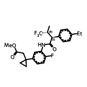 CCc1ccc([C@@H](C(=O)Nc2cc(C3(CC(=O)OC)CC3)ccc2F)[C@@H](C)C(F)(F)F)cc1